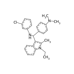 CCn1c(C)c(C(Nc2cccc(Cl)c2)c2ccc(N(C)C)cc2)c2ccccc21